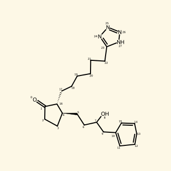 O=C1CC[C@H](CCC(O)Cc2ccccc2)[C@H]1CCCCCCc1nnn[nH]1